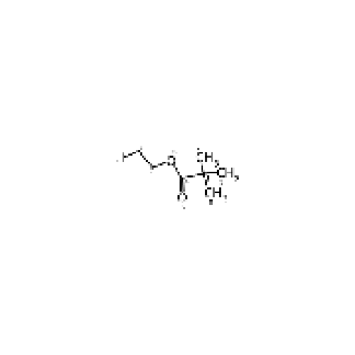 CC(C)(C)C(=O)OCCI